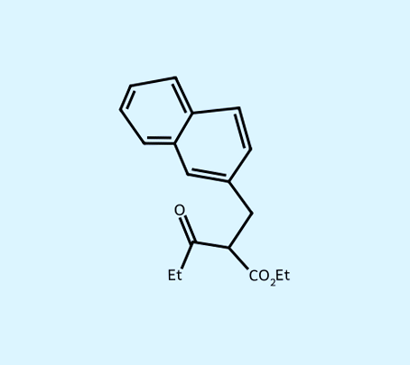 CCOC(=O)C(Cc1ccc2ccccc2c1)C(=O)CC